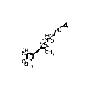 COc1cc(C#Cc2sc(NC(=O)NCCOCC3CC3)nc2C)cnc1OC